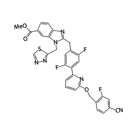 COC(=O)c1ccc2nc(Cc3cc(F)c(-c4cccc(OCc5ccc(C#N)cc5F)n4)cc3F)n(Cc3nncs3)c2c1